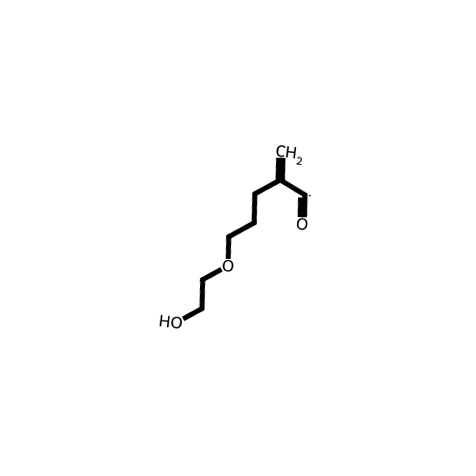 C=C([C]=O)CCCOCCO